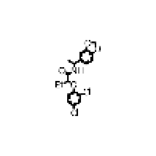 CCC(Oc1ccc(Cl)cc1Cl)C(=O)NC(C)c1ccc2c(c1)OCO2